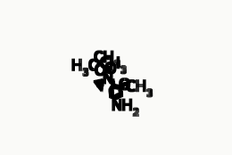 COc1cc(N)ccc1CN(C(=O)OC(C)(C)C)C1CC1